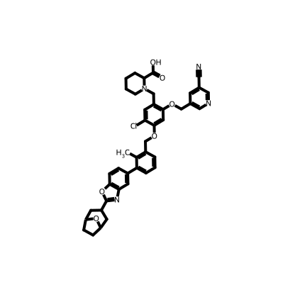 Cc1c(COc2cc(OCc3cncc(C#N)c3)c(CN3CCCCC3C(=O)O)cc2Cl)cccc1-c1ccc2oc(C3CC4CCC(C3)O4)nc2c1